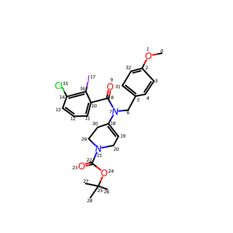 COc1ccc(CN(C(=O)c2cccc(Cl)c2I)C2=CCN(C(=O)OC(C)(C)C)CC2)cc1